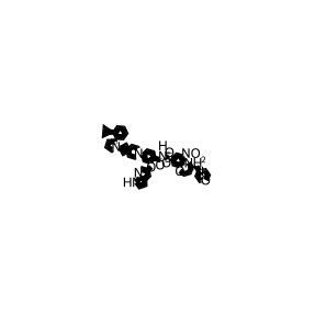 O=C(NS(=O)(=O)c1cc2c(c([N+](=O)[O-])c1)N[C@@H](CN1CCOCC1)CCO2)c1ccc(N2CCC3(CC2)CC(N2CCC[C@@H]2c2ccccc2C2CC2)C3)cc1Oc1cnc2[nH]ccc2c1